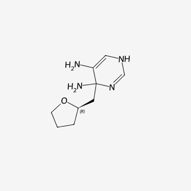 NC1=CNC=NC1(N)C[C@H]1CCCO1